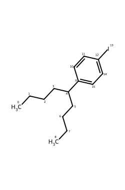 CCCCC(CCCC)c1ccc(I)cc1